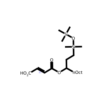 CCCCCCCCC(CC[Si](C)(C)O[Si](C)(C)C)OC(=O)/C=C/C(=O)O